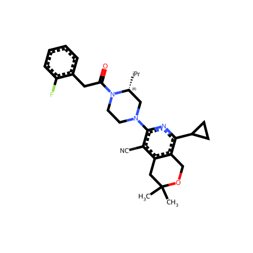 CC(C)[C@@H]1CN(c2nc(C3CC3)c3c(c2C#N)CC(C)(C)OC3)CCN1C(=O)Cc1ccccc1F